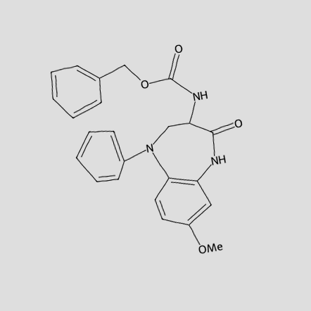 COc1ccc2c(c1)NC(=O)C(NC(=O)OCc1ccccc1)CN2c1ccccc1